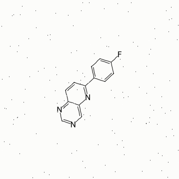 Fc1ccc(-c2ccc3ncncc3n2)cc1